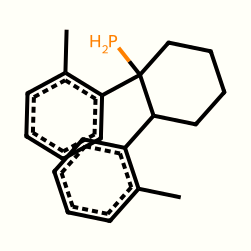 Cc1ccccc1C1CCCCC1(P)c1ccccc1C